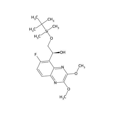 COc1nc2ccc(F)c([C@H](O)CO[Si](C)(C)C(C)(C)C)c2nc1OC